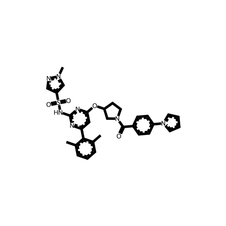 Cc1cccc(C)c1-c1cc(OC2CCN(C(=O)c3ccc(-n4cccc4)cc3)C2)nc(NS(=O)(=O)c2cnn(C)c2)n1